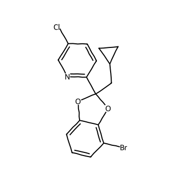 Clc1ccc(C2(CC3CC3)Oc3cccc(Br)c3O2)nc1